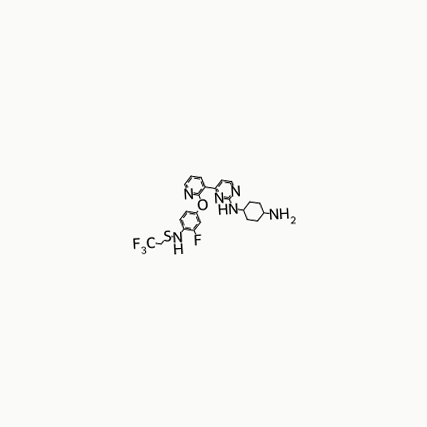 NC1CCC(Nc2nccc(-c3cccnc3Oc3ccc(NSCC(F)(F)F)c(F)c3)n2)CC1